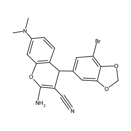 CN(C)c1ccc2c(c1)OC(N)=C(C#N)C2c1cc(Br)c2c(c1)OCO2